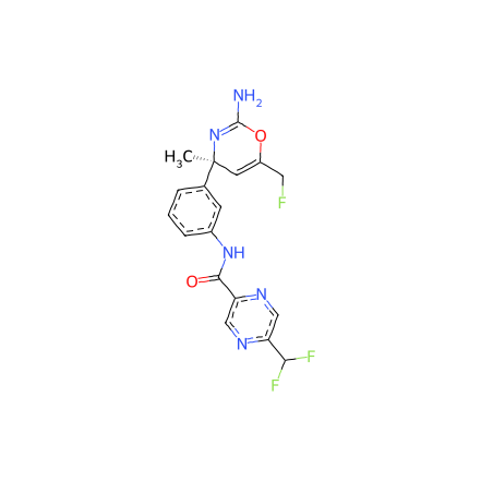 C[C@@]1(c2cccc(NC(=O)c3cnc(C(F)F)cn3)c2)C=C(CF)OC(N)=N1